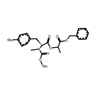 CC(OC(=O)[C@H](Cc1ccc(C(C)(C)C)cc1)N(C)C(=O)OC(C)(C)C)C(=O)OCc1ccccc1